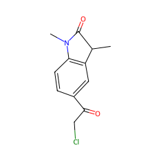 CC1C(=O)N(C)c2ccc(C(=O)CCl)cc21